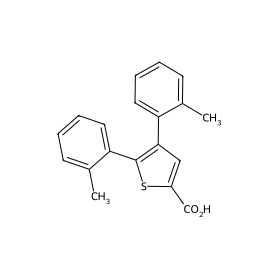 Cc1ccccc1-c1cc(C(=O)O)sc1-c1ccccc1C